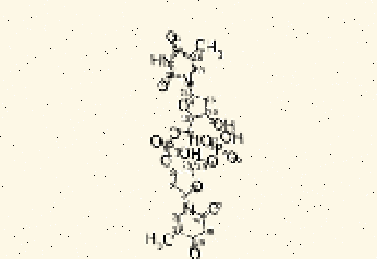 CC1=CN(C2CC(OP(=O)(O)OCC3OC(n4cc(C)c(=O)[nH]c4=O)CC3O)C(COP(=O)(O)O)O2)C(=O)CC1=O